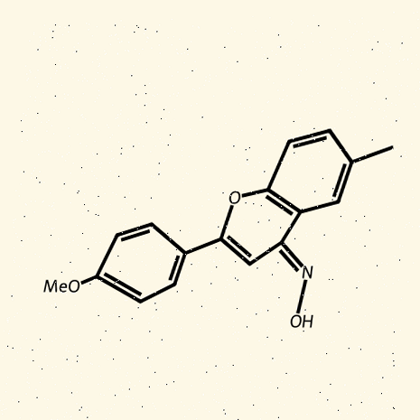 COc1ccc(-c2cc(=NO)c3cc(C)ccc3o2)cc1